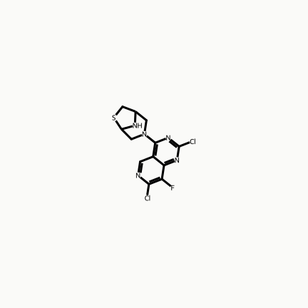 Fc1c(Cl)ncc2c(N3CC4CSC(C3)N4)nc(Cl)nc12